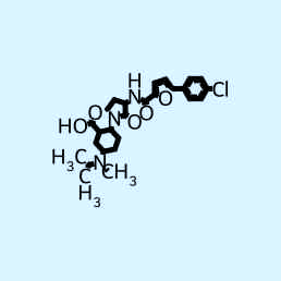 CC(C)N(C)C1CCC(N2CCC(NC(=O)c3ccc(-c4ccc(Cl)cc4)o3)C2=O)C(C(=O)O)C1